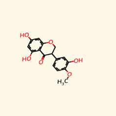 COc1ccc(C2COc3cc(O)cc(O)c3C2=O)cc1O